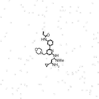 C=CC(=O)Nc1cccc(-c2cc(CN3CCOCC3)cc(NC(/C=C(\N)C3CC3)NC)n2)c1